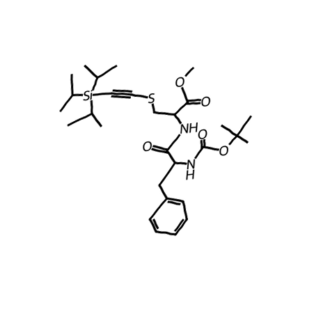 COC(=O)C(CSC#C[Si](C(C)C)(C(C)C)C(C)C)NC(=O)C(Cc1ccccc1)NC(=O)OC(C)(C)C